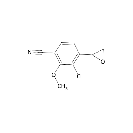 COc1c(C#N)ccc(C2CO2)c1Cl